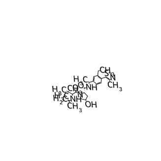 C=C(C)N[C@H](C(=O)N1C[C@H](O)C[C@H]1C(=O)N[C@@H](C)c1ccc(-c2scnc2C)c(CC)c1)C(C)(C)C